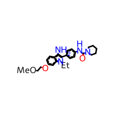 CCn1c(-c2ccc(NC(=O)N3CCCCC3)cc2)c(N)c2ccc(OCCOC)cc21